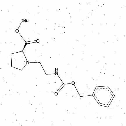 CC(C)(C)OC(=O)[C@@H]1CCCN1CCNC(=O)OCc1ccccc1